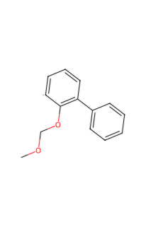 COCOc1[c]cccc1-c1ccccc1